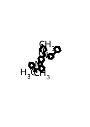 Cc1ccc(N(c2cccc(C3=CC=CCC3)c2)c2ccc3c(c2)c2cccc4c2n3-c2ccccc2C4(C)C)nc1